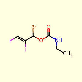 CCNC(=O)OC(Br)C(I)=CI